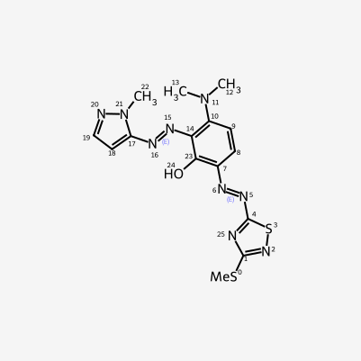 CSc1nsc(/N=N/c2ccc(N(C)C)c(/N=N/c3ccnn3C)c2O)n1